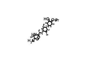 C/C(=C\c1cc(C)c(-c2ccc(OC(C)C)c(O)c2)cc1C)C(=O)NC(C)C(N)=O